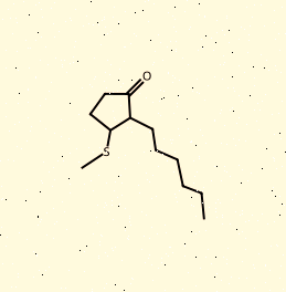 CCCCCCC1C(=O)CCC1SC